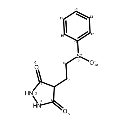 O=C1NNC(=O)C1CC[S+]([O-])c1ccccc1